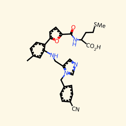 CSCCC(NC(=O)c1ccc(-c2ccc(C)cc2NCc2cncn2Cc2ccc(C#N)cc2)o1)C(=O)O